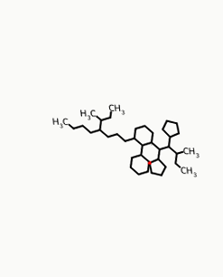 CCCCC(CCCC1CCC[C](C(C2CCCC2)C(C(C)CC)C2CCCC2)C1C1CCCCC1)C(C)CC